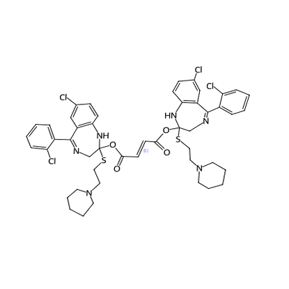 O=C(/C=C/C(=O)OC1(SCCN2CCCCC2)CN=C(c2ccccc2Cl)c2cc(Cl)ccc2N1)OC1(SCCN2CCCCC2)CN=C(c2ccccc2Cl)c2cc(Cl)ccc2N1